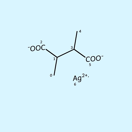 CC(C(=O)[O-])C(C)C(=O)[O-].[Ag+2]